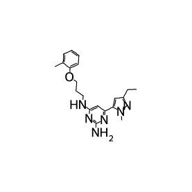 CCc1cc(-c2cc(NCCCOc3ccccc3C)nc(N)n2)n(C)n1